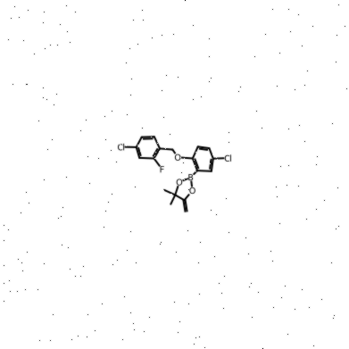 C=C1OB(c2cc(Cl)ccc2OCc2ccc(Cl)cc2F)OC1(C)C